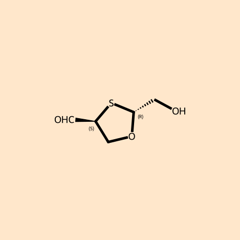 O=C[C@@H]1CO[C@@H](CO)S1